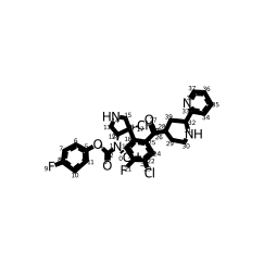 CN(C(=O)Oc1ccc(F)cc1)[C@@H]1CNC[C@@]1(C)c1cc(F)c(Cl)cc1C(=O)C1CCNC(c2ccccn2)C1